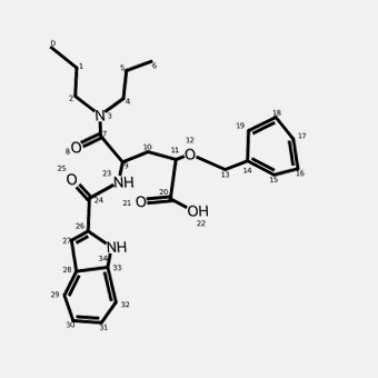 CCCN(CCC)C(=O)C(CC(OCc1ccccc1)C(=O)O)NC(=O)c1cc2ccccc2[nH]1